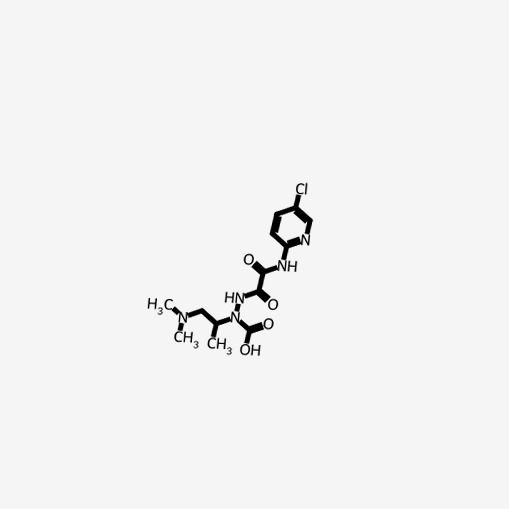 CC(CN(C)C)N(NC(=O)C(=O)Nc1ccc(Cl)cn1)C(=O)O